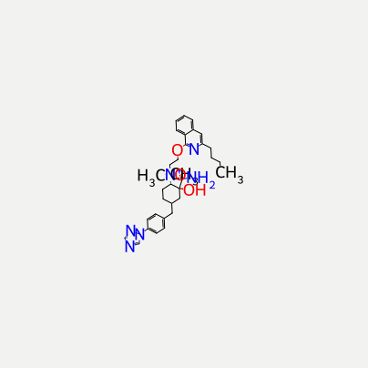 CCCCc1cc2ccccc2c(OCC[N+](C)(C)[C@H]2CCC(Cc3ccc(-n4cncn4)cc3)C[C@@]2(O)C(N)=O)n1